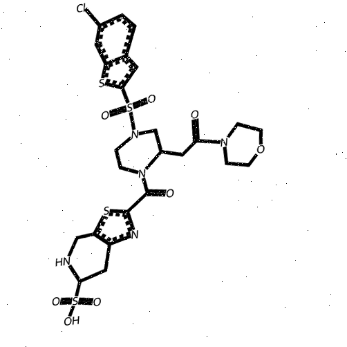 O=C(CC1CN(S(=O)(=O)c2cc3ccc(Cl)cc3s2)CCN1C(=O)c1nc2c(s1)CNC(S(=O)(=O)O)C2)N1CCOCC1